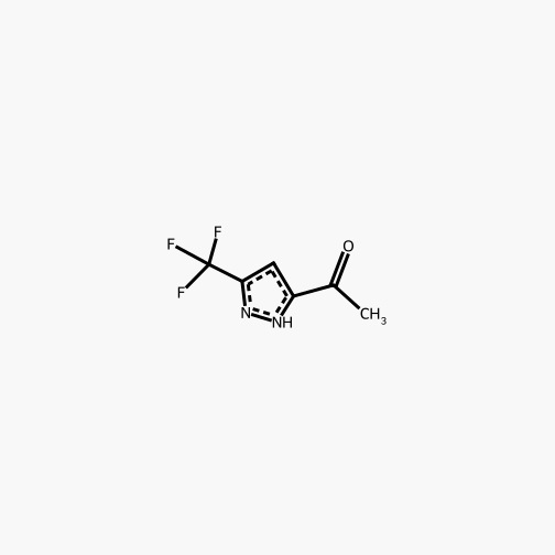 CC(=O)c1cc(C(F)(F)F)n[nH]1